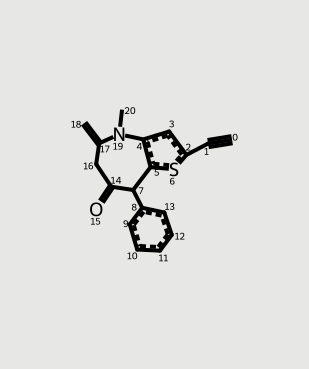 C#Cc1cc2c(s1)C(c1ccccc1)C(=O)CC(=C)N2C